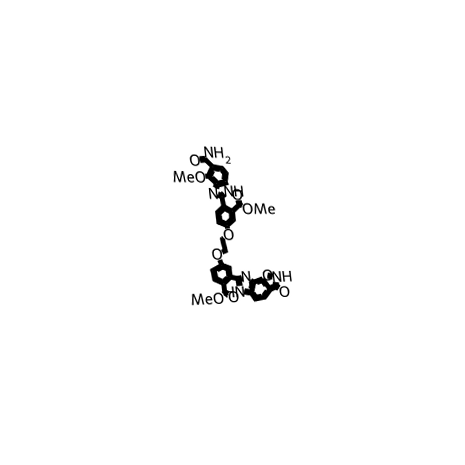 COC(=O)c1cc(OCCOc2ccc(C(=O)OC)c(-c3nc4c(ccc5c(=O)[nH]oc54)[nH]3)c2)ccc1-c1nc2c(OC)c(C(N)=O)ccc2[nH]1